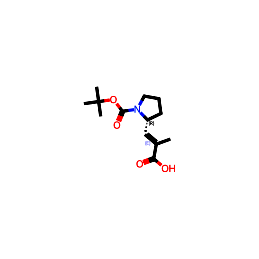 C/C(=C\[C@H]1CCCN1C(=O)OC(C)(C)C)C(=O)O